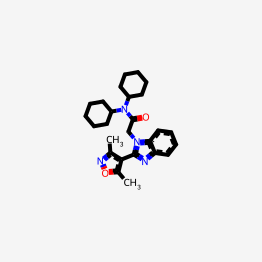 Cc1noc(C)c1-c1nc2ccccc2n1CC(=O)N(C1CCCCC1)C1CCCCC1